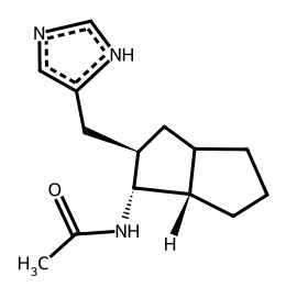 CC(=O)N[C@@H]1[C@@H](Cc2cnc[nH]2)CC2CCC[C@@H]21